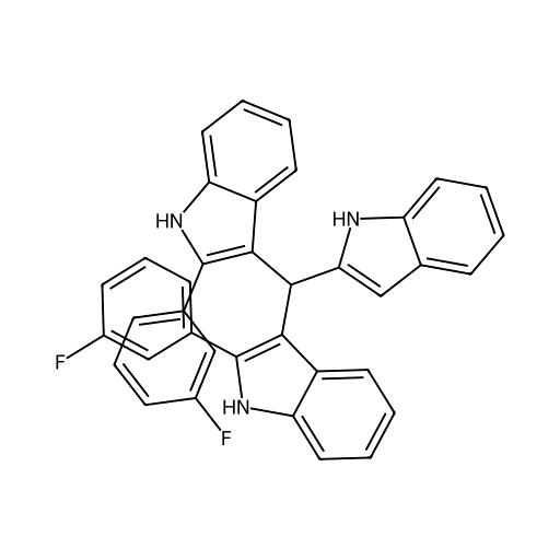 Fc1cccc(-c2[nH]c3ccccc3c2C(c2cc3ccccc3[nH]2)c2c(-c3cccc(F)c3)[nH]c3ccccc23)c1